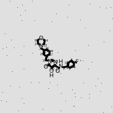 O=C(NCc1ccc(F)cc1)c1ncn(Cc2cccc(CN3CCOCC3)c2)c(=O)c1O